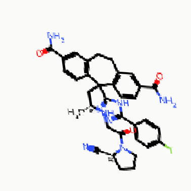 C[C@H](CC1(c2nnc(-c3ccc(F)cc3)[nH]2)c2ccc(C(N)=O)cc2CCc2cc(C(N)=O)ccc21)NCC(=O)N1CCC[C@H]1C#N